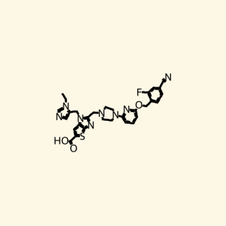 CCn1cncc1Cn1c(CN2CCN(c3cccc(OCc4ccc(C#N)cc4F)n3)CC2)nc2sc(C(=O)O)cc21